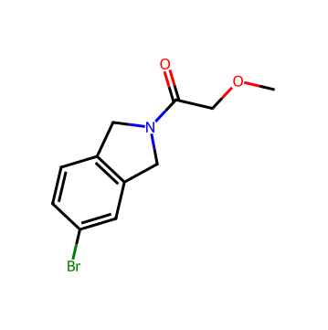 COCC(=O)N1Cc2ccc(Br)cc2C1